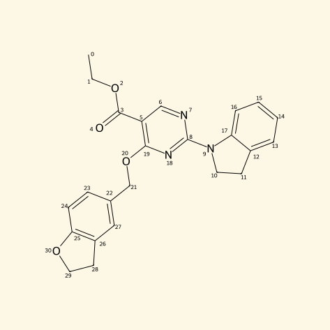 CCOC(=O)c1cnc(N2CCc3ccccc32)nc1OCc1ccc2c(c1)CCO2